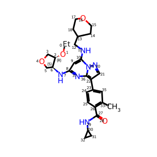 CCO[C@H]1COC[C@@H]1Nc1cc(NCC2CCOCC2)n2ncc(-c3ccc(C(=O)NC4CC4)c(C)c3)c2n1